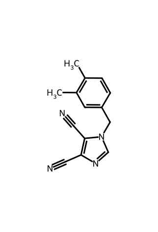 Cc1ccc(Cn2cnc(C#N)c2C#N)cc1C